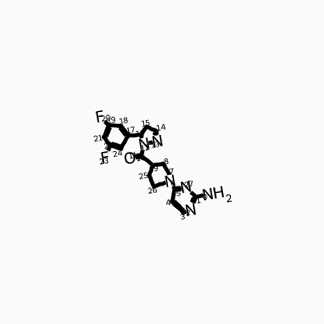 Nc1nccc(N2CCC(C(=O)N3N=CCC3c3cc(F)cc(F)c3)CC2)n1